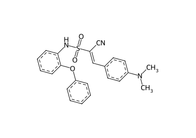 CN(C)c1ccc(/C=C(\C#N)S(=O)(=O)Nc2ccccc2Oc2ccccc2)cc1